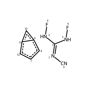 N#CN=C(NF)NF.c1cc2cc-2c1